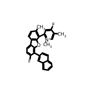 Cc1c[n+](C)c(-c2c(C)ccc3c2oc2c(-c4ccc5ccccc5c4)c(F)ccc23)cc1F